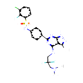 Cc1n[nH]c2nc(-c3ccc(NS(=O)(=O)c4cccc(Cl)c4F)cc3)nc(NCC(F)(F)CN(C)C)c12